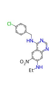 CCNc1cc2ncnc(NCc3ccc(Cl)cc3)c2cc1[N+](=O)[O-]